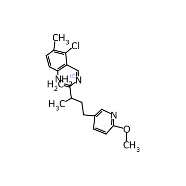 C=C(/N=C\c1c(N)ccc(C)c1Cl)C(C)CCc1ccc(OC)nc1